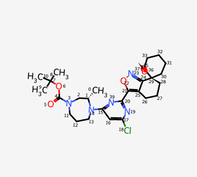 C[C@H]1CN(C(=O)OC(C)(C)C)CCCN1c1cc(Cl)nc(-c2onc3c2CCC[C@@]32CCCCC23OCCO3)n1